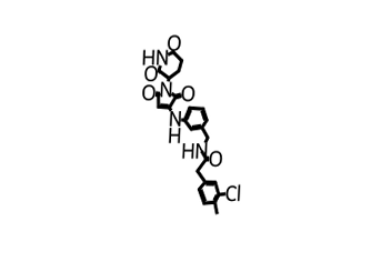 Cc1ccc(CC(=O)NCc2cccc(NC3=CC(=O)N(C4CCC(=O)NC4=O)C3=O)c2)cc1Cl